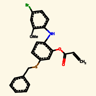 C=CC(=O)Oc1cc(SCc2ccccc2)ccc1Nc1ccc(Br)cc1OC